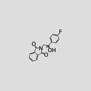 O=C1c2ccccc2C(=O)N1C[C@H](O)c1ccc(F)cc1